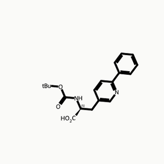 CC(C)(C)OC(=O)N[C@@H](Cc1ccc(-c2ccccc2)nc1)C(=O)O